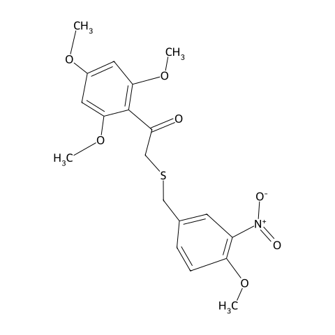 COc1cc(OC)c(C(=O)CSCc2ccc(OC)c([N+](=O)[O-])c2)c(OC)c1